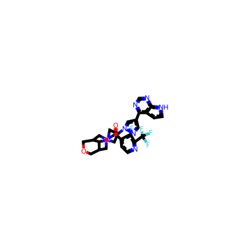 O=C(c1ccnc(C(F)(F)F)c1F)N1CC2COCC(C1)C2N1C[C](n2cc(-c3ncnc4[nH]ccc34)cn2)C1